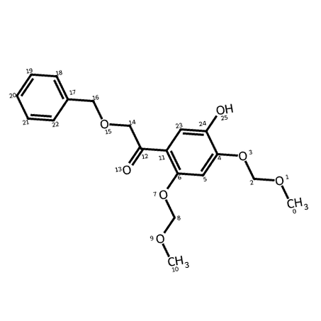 COCOc1cc(OCOC)c(C(=O)COCc2ccccc2)cc1O